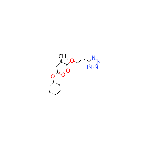 C=C(CC(=O)OC1CCCCC1)C(=O)OCCc1nnn[nH]1